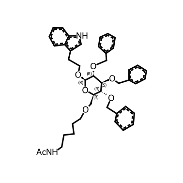 CC(=O)NCCCCCOC[C@H]1O[C@@H](OCCc2c[nH]c3ccccc23)[C@H](OCc2ccccc2)[C@@H](OCc2ccccc2)[C@@H]1OCc1ccccc1